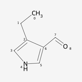 CCc1c[nH]cc1C=O